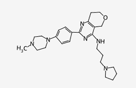 CN1CCN(c2ccc(-c3nc4c(c(NCCCN5CCCC5)n3)COCC4)cc2)CC1